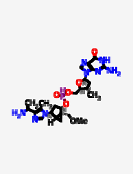 C=C(N)c1ncn([C@H]2C[C@H](O[PH](=O)OC[C@H]3O[C@@H](n4cnc5c(=O)[nH]c(N)nc54)C[C@@H]3C)[C@@]3(COC)C[C@H]23)c1C